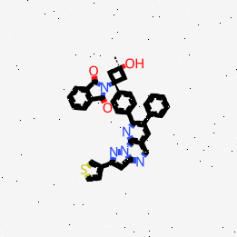 C[C@]1(O)C[C@](c2ccc(-c3nc4c(cnc5cc(-c6ccsc6)nn54)cc3-c3ccccc3)cc2)(N2C(=O)c3ccccc3C2=O)C1